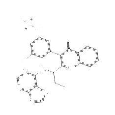 CCC(Nc1ncnc2[nH]cnc12)c1oc2ccccc2c(=O)c1-c1cccc(F)c1.O=S(=O)(O)O